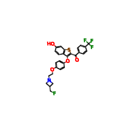 O=C(c1ccc(C(F)(F)F)cc1)c1sc2cc(O)ccc2c1Oc1ccc(OCCN2CC(CF)C2)cc1